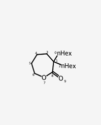 CCCCCCC1(CCCCCC)CCCCOC1=O